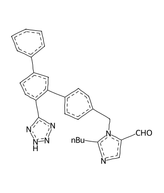 CCCCc1ncc(C=O)n1Cc1ccc(-c2cc(-c3ccccc3)ccc2-c2nn[nH]n2)cc1